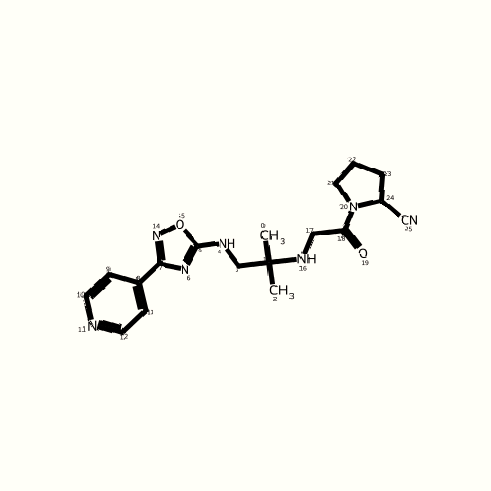 CC(C)(CNc1nc(-c2ccncc2)no1)NCC(=O)N1CCCC1C#N